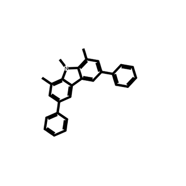 Cc1cc(-c2ccccc2)cc2c3cc(-c4ccccc4)cc(C)c3n(C)c12